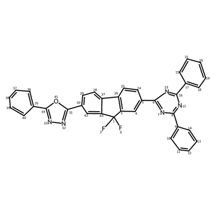 FC1(F)c2cc(-c3nc(-c4ccccc4)nc(-c4ccccc4)n3)ccc2-c2ccc(-c3nnc(-c4ccccc4)o3)cc21